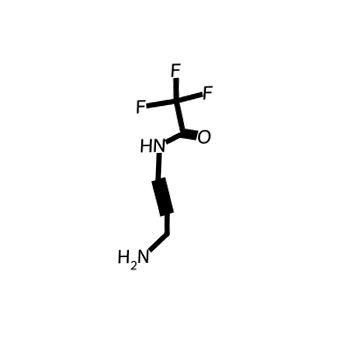 NCC#CNC(=O)C(F)(F)F